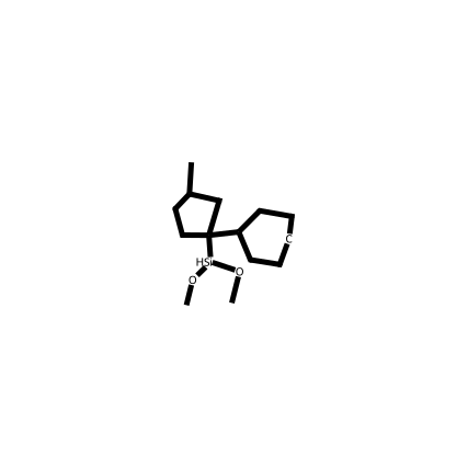 CO[SiH](OC)C1(C2CCCCC2)CCC(C)C1